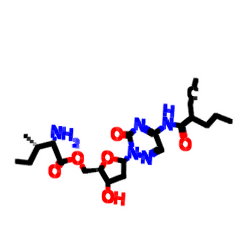 CCCC(CCC)C(=O)Nc1cnn([C@H]2CC(O)[C@@H](COC(=O)[C@@H](N)[C@@H](C)CC)O2)c(=O)n1